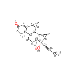 C[C@]12CCC(=O)C=C1C1CC1C1C2CC[C@@]2(C)C1C1CC1[C@@]2(O)C#CC(=O)O